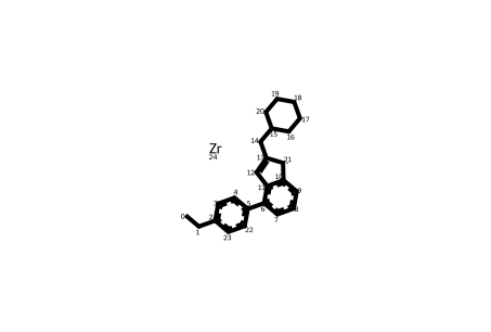 CCc1ccc(-c2cccc3c2C=C(CC2CCCCC2)[CH]3)cc1.[Zr]